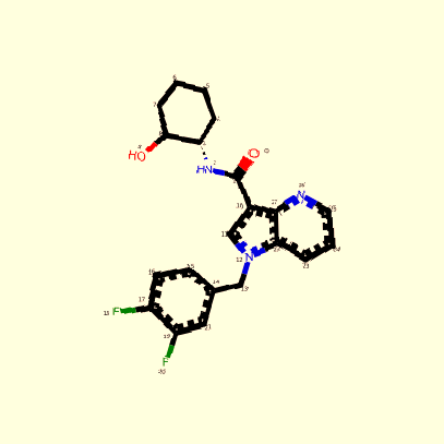 O=C(N[C@H]1CCCCC1O)c1cn(Cc2ccc(F)c(F)c2)c2cccnc12